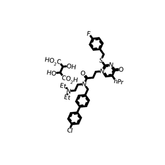 CCCc1cn(CCC(=O)N(CCN(CC)CC)Cc2ccc(-c3ccc(Cl)cc3)cc2)c(SCc2ccc(F)cc2)nc1=O.O=C(O)C(O)C(O)C(=O)O